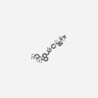 CC(C)(C)OC(=O)N1CC2CC(C(=O)N3CCC(n4cc(Cc5ccc6c7c(cccc57)C(=O)N6C5CCC(=O)NC5=O)cn4)CC3)(C2)C1